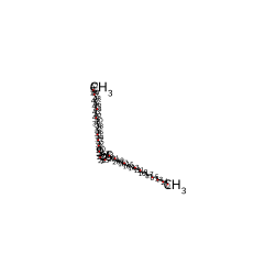 CCCCCCCCCCCCCCCCCCCCCCCSc1c[c]cc(SCCCCCCCCCCCCCCCCCCCCCCC)c1